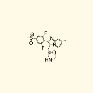 Cc1ccn2c(C[C@H]3CNCCO3)c(-c3c(F)cc(S(C)(=O)=O)cc3F)nc2c1